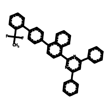 CC(F)(F)c1ccccc1-c1ccc(-c2ccc(-c3nc(-c4ccccc4)cc(-c4ccccc4)n3)c3ccccc23)cc1